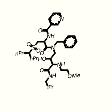 CCCC(CCC)S(=O)(=O)CC(NC(=O)c1cccnc1)C(=O)N(Cc1ccccc1)CC(O)C(NCCOC)C(=O)NCC(C)C